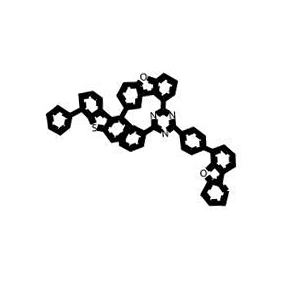 c1ccc(-c2nc(-c3ccc(-c4cccc5c4oc4ccccc45)cc3)nc(-c3cccc4oc5ccc(-c6cccc7sc8c(-c9ccccc9)cccc8c67)cc5c34)n2)cc1